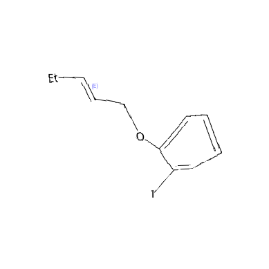 CC/C=C/COc1ccccc1I